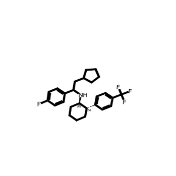 Fc1ccc(C(CC2CCCC2)N[C@@H]2CC[CH]C[C@H]2c2ccc(C(F)(F)F)cc2)cc1